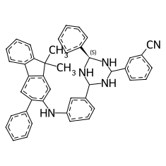 CC1(C)c2ccccc2-c2cc(-c3ccccc3)c(Nc3cccc(C4NC(c5cccc(C#N)c5)N[C@H](c5ccccc5)N4)c3)cc21